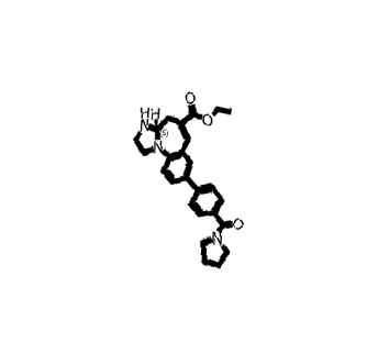 CCOC(=O)C1=Cc2cc(-c3ccc(C(=O)N4CCCC4)cc3)ccc2N2CCN[C@@H]2C1